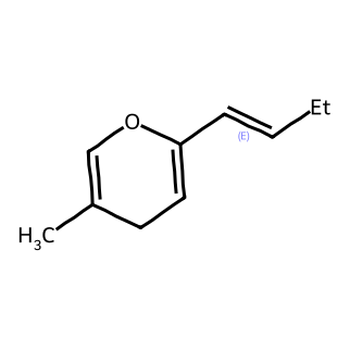 CC/C=C/C1=CCC(C)=CO1